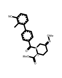 CO/N=C1/CC[C@@H](C(=O)OC)N(C(=O)c2ccc(-c3cccc(C#N)c3C)cc2)C1